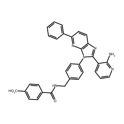 Nc1ncccc1-c1nc2ccc(-c3ccccc3)nc2n1-c1ccc(CNC(=O)c2ccc(C(=O)O)cc2)cc1